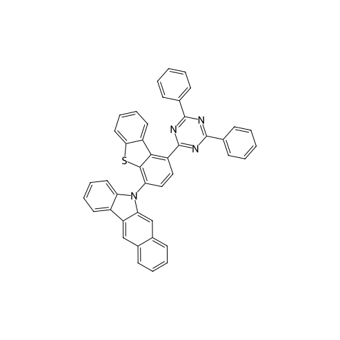 c1ccc(-c2nc(-c3ccccc3)nc(-c3ccc(-n4c5ccccc5c5cc6ccccc6cc54)c4sc5ccccc5c34)n2)cc1